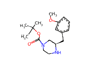 COc1cccc(C[C@@H]2CN(C(=O)OC(C)(C)C)CCN2)c1